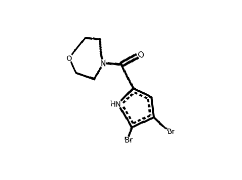 O=C(c1cc(Br)c(Br)[nH]1)N1CCOCC1